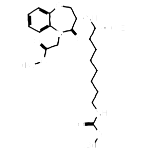 CCOC(=O)[C@H](CCCCCCCNC(=O)OC(C)(C)C)N[C@H]1COc2ccccc2N(CC(=O)OC(C)(C)C)C1=O